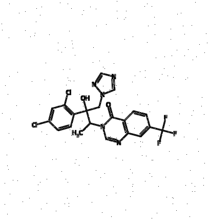 CC(n1cnc2cc(C(F)(F)F)ccc2c1=O)C(O)(Cn1cncn1)c1ccc(Cl)cc1Cl